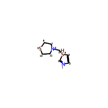 [C]1=NC=C[SH]1CN1CCSCC1